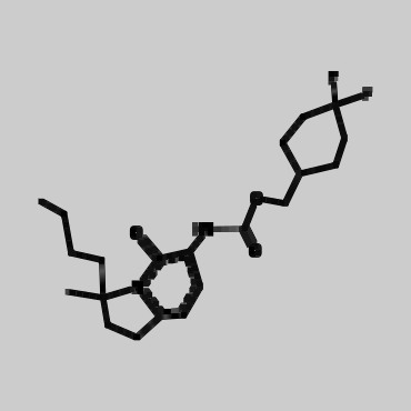 CCCCC1(C)CCc2ccc(NC(=O)OCC3CCC(F)(F)CC3)c(=O)n21